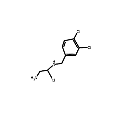 NCC(Cl)NCc1ccc(Cl)c(Cl)c1